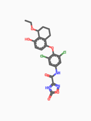 CCOC1CCCc2c(Oc3c(Cl)cc(NC(=O)c4noc(=O)[nH]4)cc3Cl)ccc(O)c21